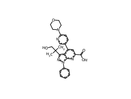 CC(C)(CO)c1nn(-c2ccccc2)c2nc(C(=O)O)cc(-c3ccc(N4CCOCC4)nc3)c12